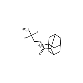 CC12CC3CC(C1)C(C(=O)OCC(F)(F)S(=O)(=O)O)C(C3)C2